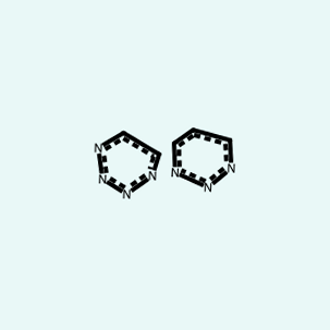 c1cnnnc1.c1cnnnn1